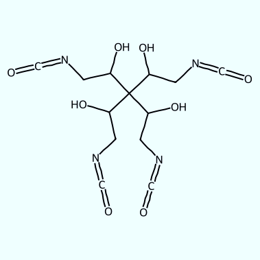 O=C=NCC(O)C(C(O)CN=C=O)(C(O)CN=C=O)C(O)CN=C=O